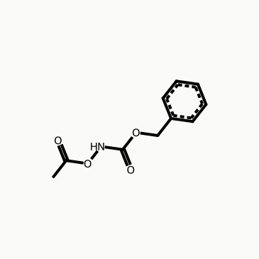 CC(=O)ONC(=O)OCc1ccccc1